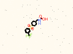 O=C(O)NCC1CCC(S(=O)(=O)c2cccc(C(F)(F)F)c2)CC1